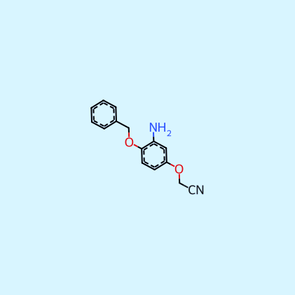 N#CCOc1ccc(OCc2ccccc2)c(N)c1